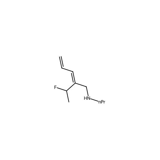 C=C/C=C(/CNCCC)C(C)F